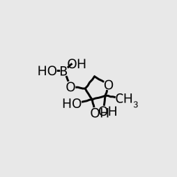 CC1(O)OCC(OB(O)O)C1(O)O